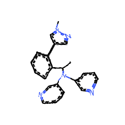 CC(c1ccccc1-c1cnn(C)c1)N(c1cccnc1)c1cccnc1